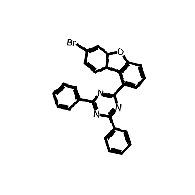 BrC1=CC2Oc3cccc(-c4nc(-c5ccccc5)nc(-c5ccccc5)n4)c3C2C=C1